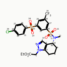 CCOC(=O)Cn1ncc2c1CCC[C@H]2N(C)S(=O)(=O)c1cc(C(F)(F)F)cc(S(=O)(=O)c2ccc(Cl)cc2)c1